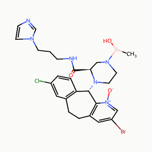 CB(O)N1CCN([C@H]2c3ccc(Cl)cc3CCc3cc(Br)c[n+]([O-])c32)[C@@H](C(=O)NCCCn2ccnc2)C1